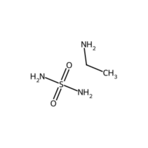 CCN.NS(N)(=O)=O